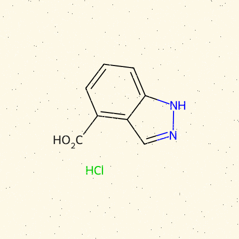 Cl.O=C(O)c1cccc2[nH]ncc12